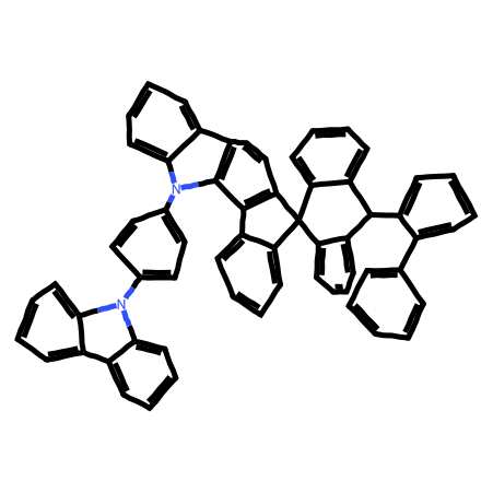 c1ccc(-c2ccccc2C2c3ccccc3C3(c4ccccc4-c4c3ccc3c5ccccc5n(-c5ccc(-n6c7ccccc7c7ccccc76)cc5)c43)c3ccccc32)cc1